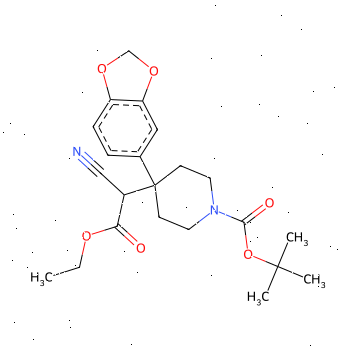 CCOC(=O)C(C#N)C1(c2ccc3c(c2)OCO3)CCN(C(=O)OC(C)(C)C)CC1